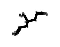 C=CC[N]([AlH2])CC=C